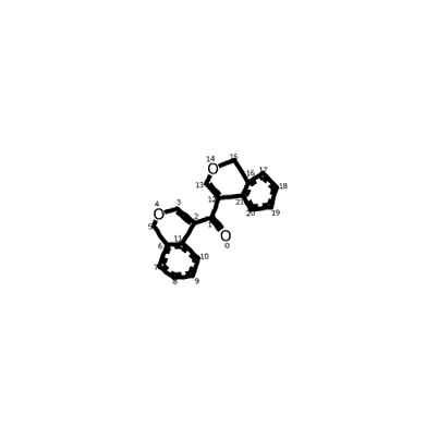 O=C(C1=COCc2ccccc21)C1=COCc2ccccc21